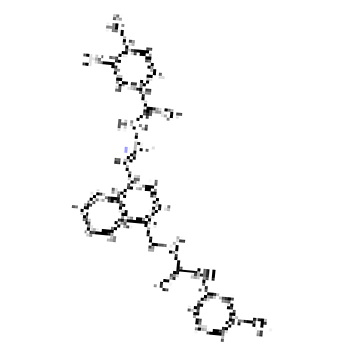 O=C(Nc1cccc(C(F)(F)F)c1)OCc1ccc(/C=N/NC(=O)c2ccc(O)c(Cl)c2)c2ccccc12